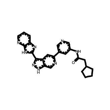 O=C(CC1CCCC1)Nc1cncc(-c2cc3c(-c4nc5cccnc5[nH]4)n[nH]c3cn2)c1